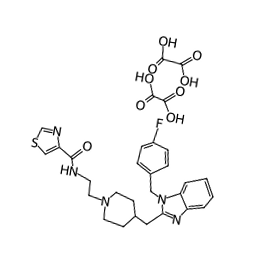 O=C(NCCN1CCC(Cc2nc3ccccc3n2Cc2ccc(F)cc2)CC1)c1cscn1.O=C(O)C(=O)O.O=C(O)C(=O)O